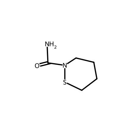 NC(=O)N1CCCCS1